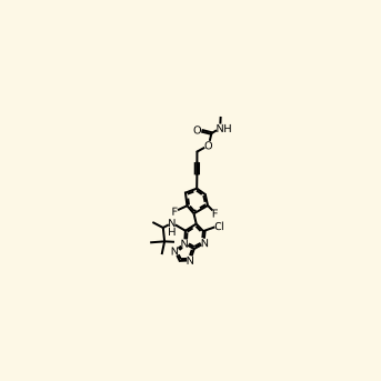 CNC(=O)OCC#Cc1cc(F)c(-c2c(Cl)nc3ncnn3c2NC(C)C(C)(C)C)c(F)c1